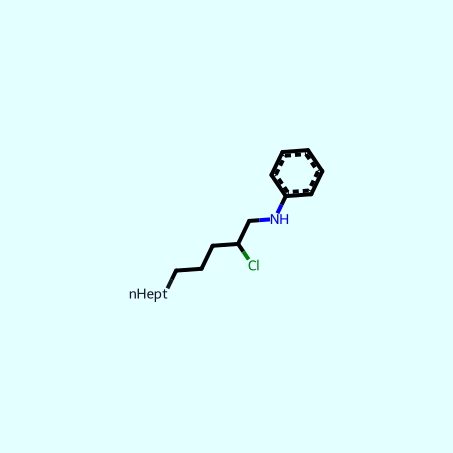 CCCCCCCCCCC(Cl)CNc1ccccc1